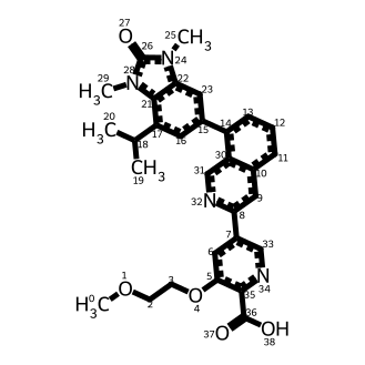 COCCOc1cc(-c2cc3cccc(-c4cc(C(C)C)c5c(c4)n(C)c(=O)n5C)c3cn2)cnc1C(=O)O